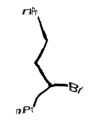 [CH2]CCCCC(Br)CCC